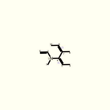 C=CN(C)C(=C/C)/C(C)=C\C